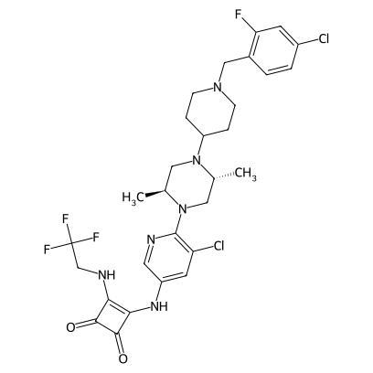 C[C@@H]1CN(c2ncc(Nc3c(NCC(F)(F)F)c(=O)c3=O)cc2Cl)[C@@H](C)CN1C1CCN(Cc2ccc(Cl)cc2F)CC1